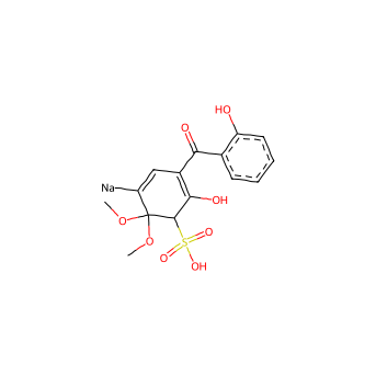 COC1(OC)[C]([Na])=CC(C(=O)c2ccccc2O)=C(O)C1S(=O)(=O)O